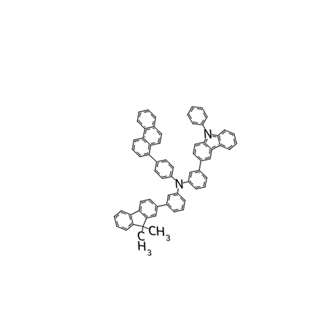 CC1(C)c2ccccc2-c2ccc(-c3cccc(N(c4ccc(-c5cccc6c5ccc5ccccc56)cc4)c4cccc(-c5ccc6c(c5)c5ccccc5n6-c5ccccc5)c4)c3)cc21